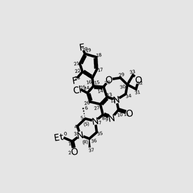 CCC(=O)N1C[C@H](C)N(c2nc(=O)n3c4c(c(-c5ccc(F)cc5F)c(Cl)cc24)OCC2(COC2)C3)C[C@H]1C